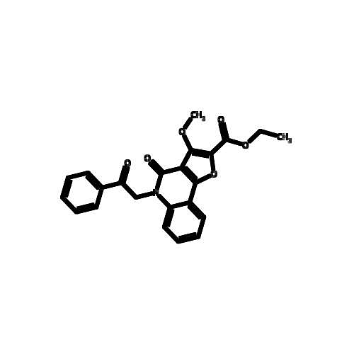 CCOC(=O)c1oc2c(c1OC)c(=O)n(CC(=O)c1ccccc1)c1ccccc21